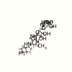 Cc1cc(N[C@@H]2CCc3cc(F)ccc32)c2cnn([C@@H]3O[C@H](COP(=O)(O)CP(=O)(O)O)C(O)C3O)c2n1